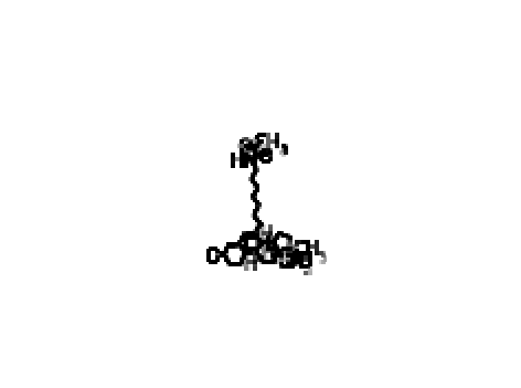 CC1(O)CC[C@H]2[C@@H]3C(CCCCCCCNS(C)(=O)=O)CC4=CC(=O)CC[C@]4(C)[C@@H]3CC[C@@]21C